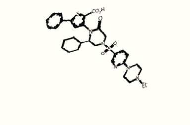 CCN1CCN(c2ccc(S(=O)(=O)N3CC(=O)N(c4cc(-c5ccccc5)sc4C(=O)O)[C@H](C4CCCCC4)C3)cn2)CC1